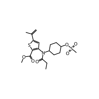 C=C(C)c1cc(N(C(=O)CC)C2CCC(OS(C)(=O)=O)CC2)c(C(=O)OC)s1